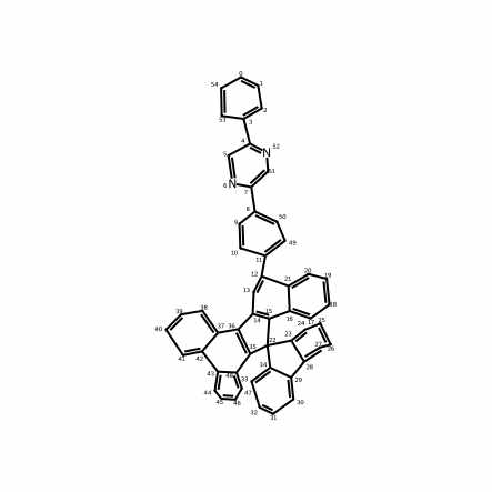 c1ccc(-c2cnc(-c3ccc(-c4cc5c(c6ccccc46)C4(c6ccccc6-c6ccccc64)c4c-5c5ccccc5c5ccccc45)cc3)cn2)cc1